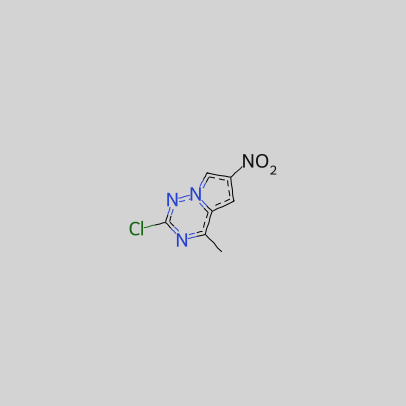 Cc1nc(Cl)nn2cc([N+](=O)[O-])cc12